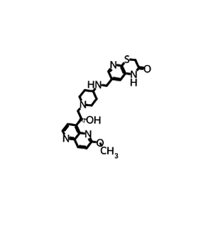 COc1ccc2nccc([C@@H](O)CN3CCC(NCc4cnc5c(c4)NC(=O)CS5)CC3)c2n1